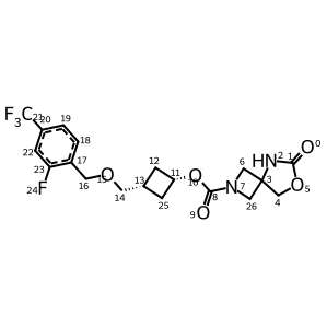 O=C1NC2(CO1)CN(C(=O)O[C@H]1C[C@@H](COCc3ccc(C(F)(F)F)cc3F)C1)C2